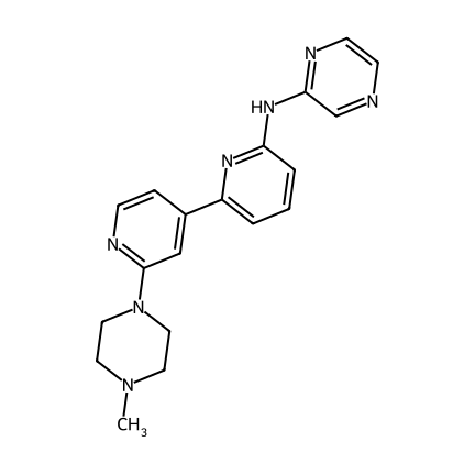 CN1CCN(c2cc(-c3cccc(Nc4cnccn4)n3)ccn2)CC1